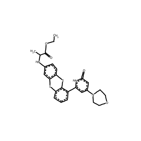 CCOC(=O)C(C)Nc1ccc2c(c1)Sc1cccc(-c3cc(N4CCOCC4)cc(=O)[nH]3)c1S2